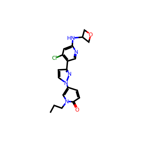 CCCn1cc(-n2ccc(-c3cnc(NC4COC4)cc3Cl)n2)ccc1=O